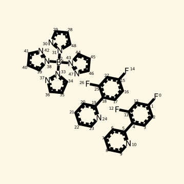 Fc1ccc(-c2ccccn2)c(F)c1.Fc1ccc(-c2ccccn2)c(F)c1.c1cnn([B-](n2cccn2)(n2cccn2)n2cccn2)c1